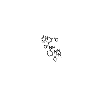 Cc1cnc2c(C(=O)Nc3cccc(C4(c5nncn5C)CC(C)C4)c3)cc(C=O)cn12